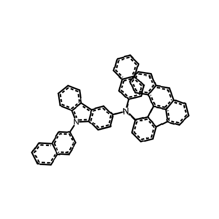 c1cc2c(c(N(c3ccc4ccccc4c3)c3ccc4c(c3)c3ccccc3n4-c3ccc4ccccc4c3)c1)-c1c3ccccc3cc3cccc-2c13